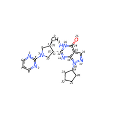 C[C@@H]1CN(c2ncccn2)C[C@H]1c1nc2c(cnn2C2CCCC2)c(=O)[nH]1